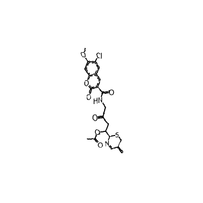 C=C1C=NC(C(CC(=O)CNC(=O)c2cc3cc(Cl)c(OC)cc3oc2=O)OC(C)=O)SC1